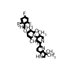 [2H]C([2H])(Oc1cc(C)n(-c2cc(-c3ccc4c(n3)C(C)(C)CN4)ncc2C)c(=O)c1Cl)c1c(F)cc(F)cc1F